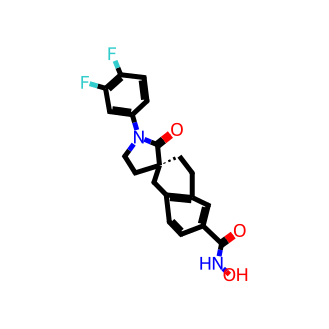 O=C(NO)c1ccc2c(c1)CC[C@@]1(CCN(c3ccc(F)c(F)c3)C1=O)C2